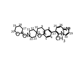 Cc1c(-c2ccc3c(c2)CCC2(CCN(OC4CCCCO4)CC2)O3)ccc2nccn12